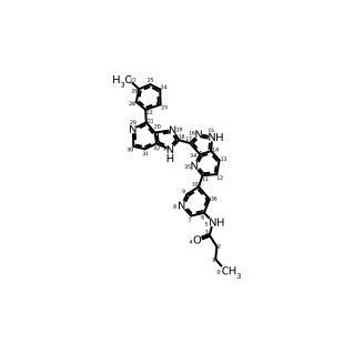 CCCC(=O)Nc1cncc(-c2ccc3[nH]nc(-c4nc5c(-c6cccc(C)c6)nccc5[nH]4)c3n2)c1